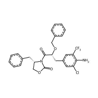 Nc1c(Cl)cc(C[C@@H](OCc2ccccc2)C(=O)N2C(=O)OC[C@@H]2Cc2ccccc2)cc1C(F)(F)F